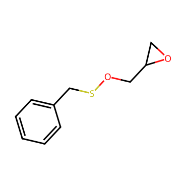 c1ccc(CSOCC2CO2)cc1